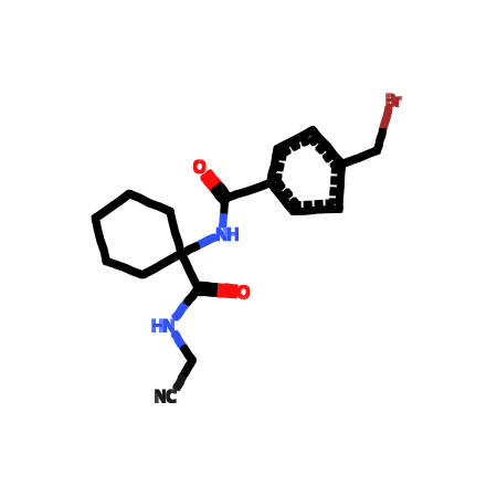 N#CCNC(=O)C1(NC(=O)c2ccc(CBr)cc2)CCCCC1